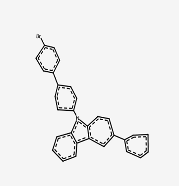 Brc1ccc(-c2ccc(-n3c4ccccc4c4cc(-c5ccccc5)ccc43)cc2)cc1